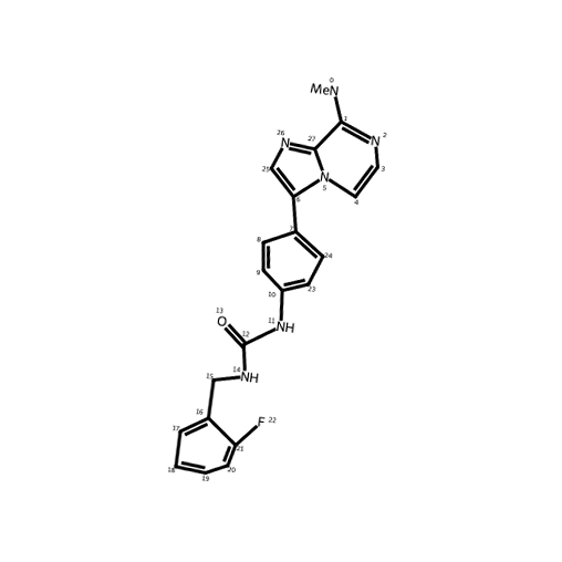 CNc1nccn2c(-c3ccc(NC(=O)NCc4ccccc4F)cc3)cnc12